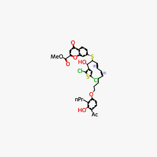 CCCc1c(OCCCC/C=C\C=C\C(Sc2ccc3c(=O)cc(C(=O)OC)oc3c2)C(O)c2cc(Cl)sc2Cl)ccc(C(C)=O)c1O